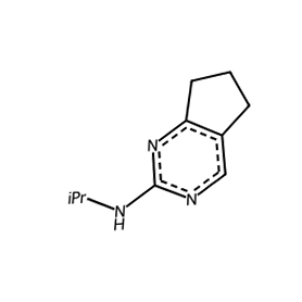 CC(C)Nc1ncc2c(n1)CCC2